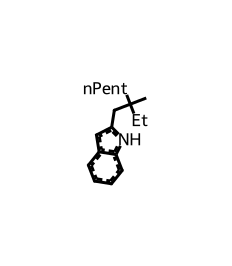 CC[CH]CCC(C)(CC)Cc1cc2ccccc2[nH]1